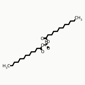 CCCCCCCCCCCC(=O)O[PH](=O)OC(=O)CCCCCCCCCCC